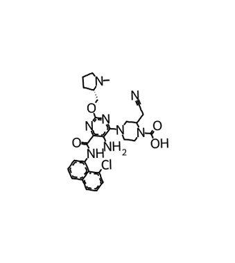 CN1CCC[C@H]1COc1nc(C(=O)Nc2cccc3cccc(Cl)c23)c(N)c(N2CCN(C(=O)O)C(CC#N)C2)n1